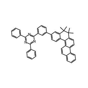 CC1(C)c2cc(-c3cccc(-c4nc(-c5ccccc5)nc(-c5ccccc5)n4)c3)ccc2-c2c(ccc3c2ccc2ccccc23)C1(C)C